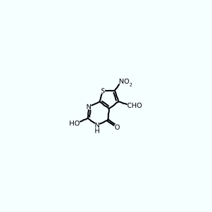 O=Cc1c([N+](=O)[O-])sc2nc(O)[nH]c(=O)c12